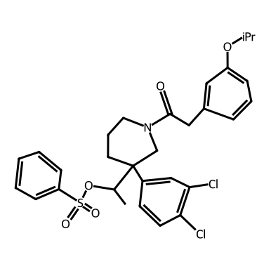 CC(C)Oc1cccc(CC(=O)N2CCCC(c3ccc(Cl)c(Cl)c3)(C(C)OS(=O)(=O)c3ccccc3)C2)c1